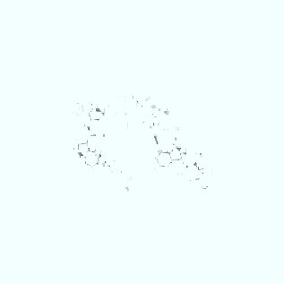 CC1CN(CC2CCC(n3cc(NC(=O)c4cnn5ccc(N6CC(CC7CC7)C6)nc45)c(C(F)F)n3)CC2)CC2C(F)C12OCC#Cc1cccc2c(C3CCC(=O)NC3=O)nn(C3CC3)c12